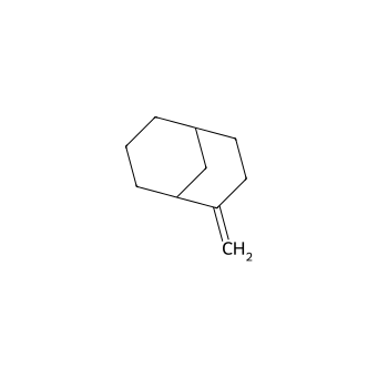 C=C1CCC2CCCC1C2